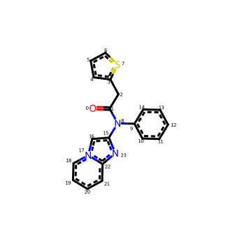 O=C(Cc1cccs1)N(c1ccccc1)c1cn2ccccc2n1